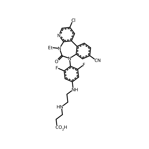 CCN1C(=O)N(c2c(F)cc(NCCNCCC(=O)O)cc2F)c2cc(C#N)ccc2-c2cc(Cl)cnc21